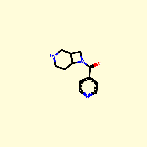 O=C(c1ccncc1)N1CC2CNCCC21